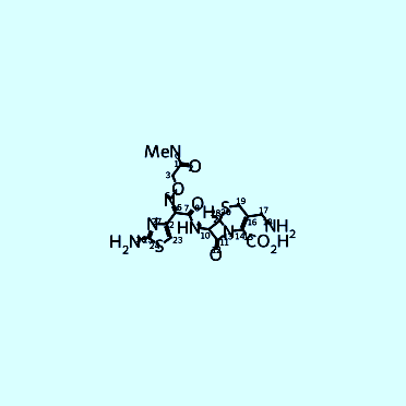 CNC(=O)CO/N=C(\C(=O)NC1C(=O)N2C(C(=O)O)=C(CN)CS[C@@H]12)c1csc(N)n1